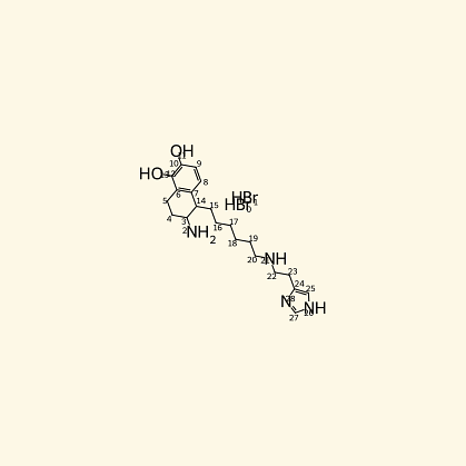 Br.Br.NC1CCc2c(ccc(O)c2O)C1CCCCCCNCCc1c[nH]cn1